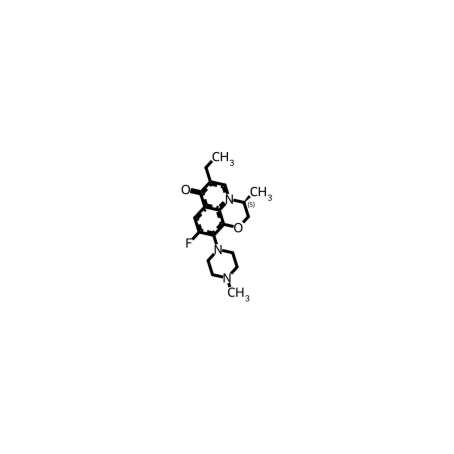 CCc1cn2c3c(c(N4CCN(C)CC4)c(F)cc3c1=O)OC[C@@H]2C